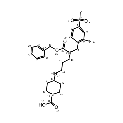 CS(=O)(=O)c1ccc(CN(CCCNC2CCN(C(=O)O)CC2)C(=O)OCc2ccccc2)c(F)c1